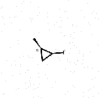 C[C@@H]1CC1F